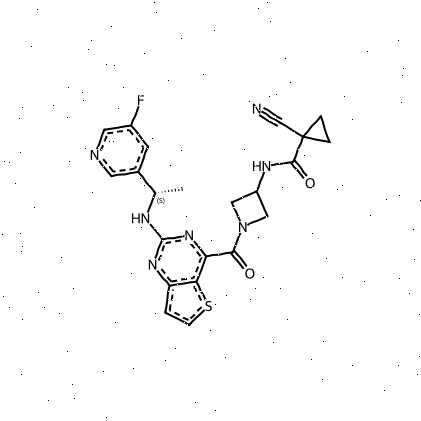 C[C@H](Nc1nc(C(=O)N2CC(NC(=O)C3(C#N)CC3)C2)c2sccc2n1)c1cncc(F)c1